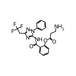 NCCC(=O)Oc1ccccc1C(=O)Nc1nc(CC(F)(F)F)nn1-c1ccccc1